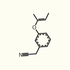 CC=C(C)Oc1cccc(CC#N)c1